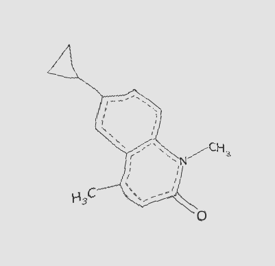 Cc1cc(=O)n(C)c2ccc(C3CC3)cc12